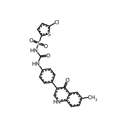 Cc1ccc2[nH]cc(-c3ccc(NC(=O)NS(=O)(=O)c4ccc(Cl)s4)cc3)c(=O)c2c1